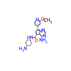 COc1cc(-c2cc(C(=O)NC3CCC(N)CC3)c3c(N)ncnn23)ccn1